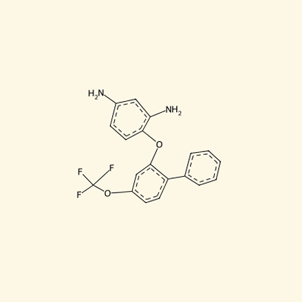 Nc1ccc(Oc2cc(OC(F)(F)F)ccc2-c2ccccc2)c(N)c1